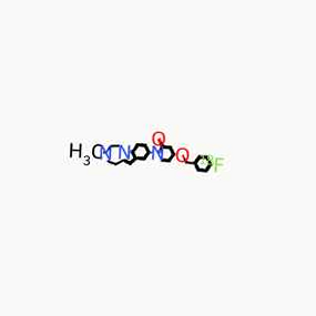 CN1CCc2cc3cc(-n4ccc(OCc5ccc([18F])cc5)cc4=O)ccc3n2CC1